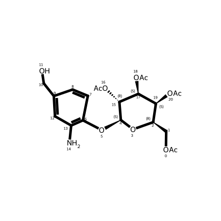 CC(=O)OC[C@H]1O[C@@H](Oc2ccc(CO)cc2N)[C@H](OC(C)=O)[C@@H](OC(C)=O)[C@H]1OC(C)=O